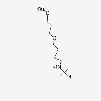 CC(C)(I)NCCCCOCCCOC(C)(C)C